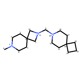 CN1CCC2(CC1)CN(CN1CCC3(CCC3)CC1)C2